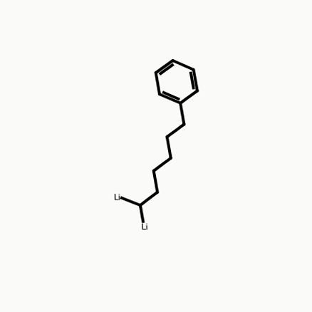 [Li][CH]([Li])CCCCCc1ccccc1